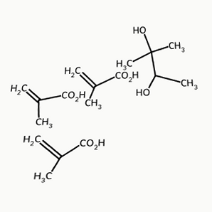 C=C(C)C(=O)O.C=C(C)C(=O)O.C=C(C)C(=O)O.CC(O)C(C)(C)O